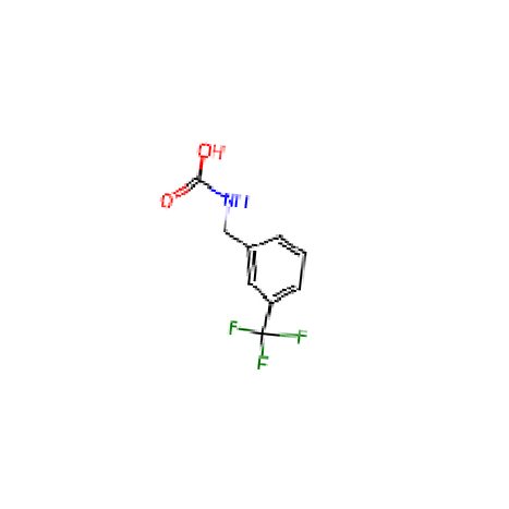 O=C(O)NCc1cccc(C(F)(F)F)c1